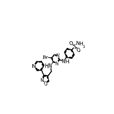 NS(=O)(=O)c1ccc(Nc2ncc(Br)c(NCc3conc3-c3cccnc3)n2)cc1